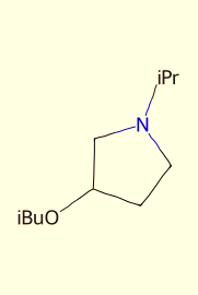 CC(C)COC1CCN(C(C)C)C1